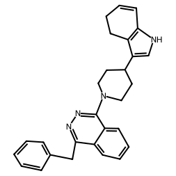 C1=Cc2[nH]cc(C3CCN(c4nnc(Cc5ccccc5)c5ccccc45)CC3)c2CC1